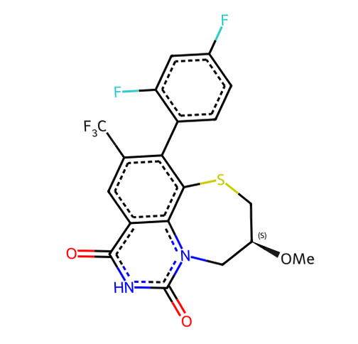 CO[C@@H]1CSc2c(-c3ccc(F)cc3F)c(C(F)(F)F)cc3c(=O)[nH]c(=O)n(c23)C1